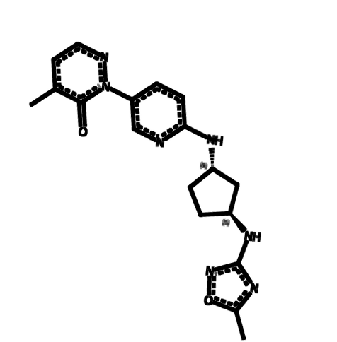 Cc1nc(N[C@H]2CC[C@H](Nc3ccc(-n4nccc(C)c4=O)cn3)C2)no1